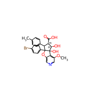 COc1cncc2c1C1(O)[C@H](O)[C@H](C(=O)O)C(c3ccc(C)cc3)C1(c1ccc(Br)cc1)O2